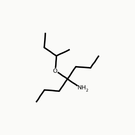 CCCC(N)(CCC)OC(C)CC